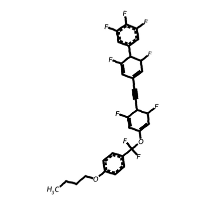 CCCCOc1ccc(C(F)(F)OC2=CC(F)C(C#CC3=CC(F)C(c4cc(F)c(F)c(F)c4)C(F)=C3)C(F)=C2)cc1